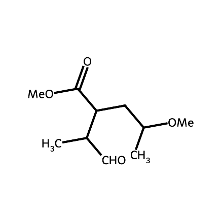 COC(=O)C(CC(C)OC)C(C)C=O